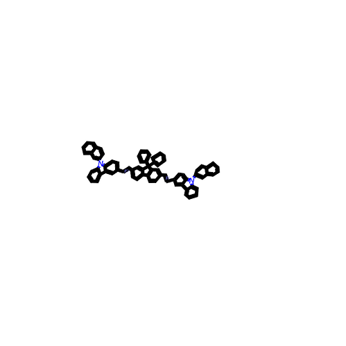 C(=C\c1ccc2c(c1)c1ccccc1n2-c1ccc2ccccc2c1)/c1ccc2c(c1)C(c1ccccc1)(c1ccccc1)c1cc(/C=C/c3ccc4c(c3)c3ccccc3n4-c3ccc4ccccc4c3)ccc1-2